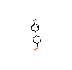 N#Cc1ccc(C2CCC(CO)CC2)cc1